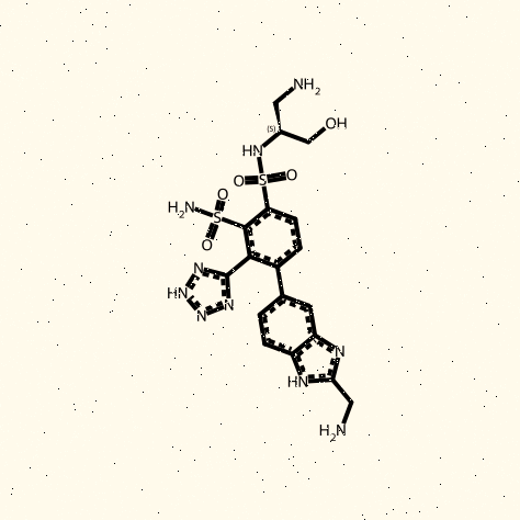 NCc1nc2cc(-c3ccc(S(=O)(=O)N[C@@H](CN)CO)c(S(N)(=O)=O)c3-c3nn[nH]n3)ccc2[nH]1